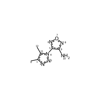 Cc1nnn(-c2nonc2N)c1C